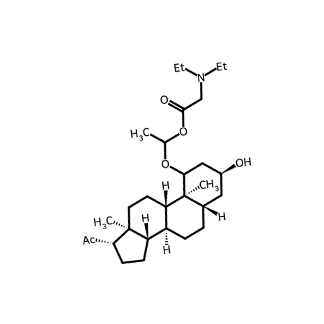 CCN(CC)CC(=O)OC(C)OC1C[C@@H](O)C[C@@H]2CC[C@H]3[C@@H]4CC[C@H](C(C)=O)[C@@]4(C)CC[C@@H]3[C@@]12C